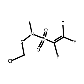 CN(SCCl)S(=O)(=O)C(F)=C(F)F